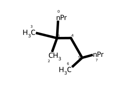 [CH2]CCC(C)(C)CC(C)CCC